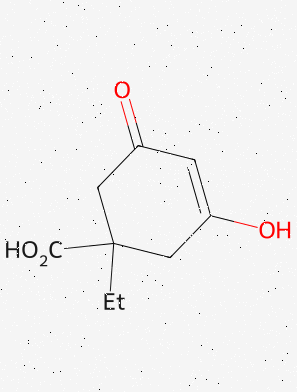 CCC1(C(=O)O)CC(=O)C=C(O)C1